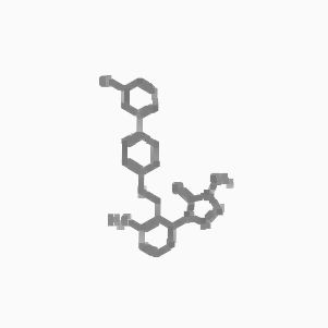 Cc1cccc(-n2nnn(C)c2=O)c1CSc1ccc(-c2cccc(Cl)c2)cc1